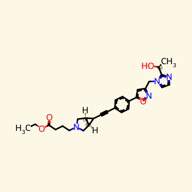 CCOC(=O)CCCN1C[C@@H]2C(C#Cc3ccc(-c4cc(Cn5ccnc5[C@H](C)O)no4)cc3)[C@@H]2C1